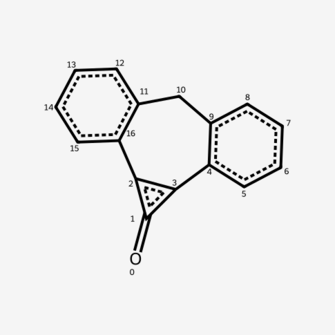 O=c1c2c1-c1ccccc1Cc1ccccc1-2